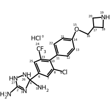 Cl.NC1=NC(N)(c2cc(Cl)c(-c3ccc(OCC4CNC4)cc3)c(C(F)(F)F)c2)NN1